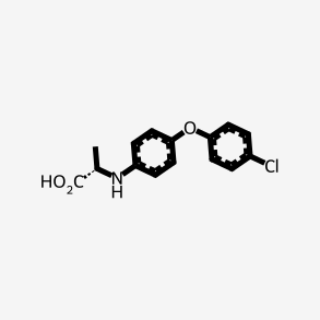 C[C@H](Nc1ccc(Oc2ccc(Cl)cc2)cc1)C(=O)O